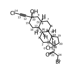 C[C@]12CC[C@H]3[C@@H](CC[C@H]4C[C@@](O)(C#CCl)CC[C@@H]43)[C@@H]1CC[C@@H]2C(=O)CBr